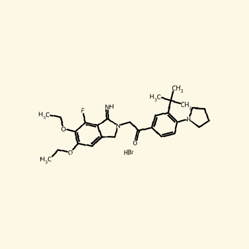 Br.CCOc1cc2c(c(F)c1OCC)C(=N)N(CC(=O)c1ccc(N3CCCC3)c(C(C)(C)C)c1)C2